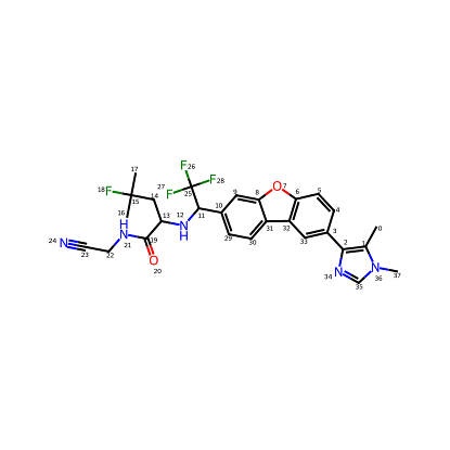 Cc1c(-c2ccc3oc4cc(C(NC(CC(C)(C)F)C(=O)NCC#N)C(F)(F)F)ccc4c3c2)ncn1C